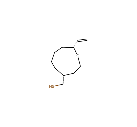 C=C[C@H]1CCCC[C@@H](CS)CCC1